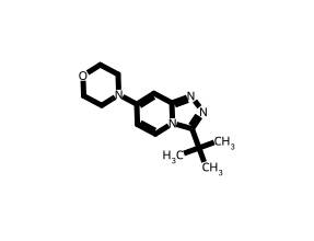 CC(C)(C)c1nnc2cc(N3CCOCC3)ccn12